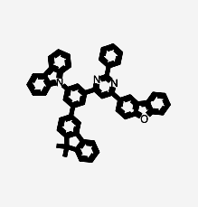 CC1(C)c2ccccc2-c2cc(-c3cc(-c4cc(-c5ccc6oc7ccccc7c6c5)nc(-c5ccccc5)n4)cc(-n4c5ccccc5c5ccccc54)c3)ccc21